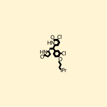 CC(C)CCCOc1ccc(/C(=C\[C@H]2CCC(=O)N2)c2ccc(Cl)c(=O)[nH]2)cc1Cl